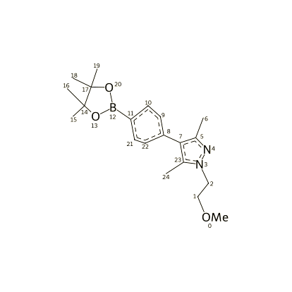 COCCn1nc(C)c(-c2ccc(B3OC(C)(C)C(C)(C)O3)cc2)c1C